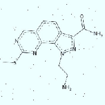 CSc1ncc2ccc3c(C(N)=O)nn(CCN)c3c2n1